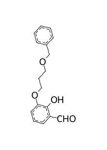 O=Cc1cccc(OCCCOCc2ccccc2)c1O